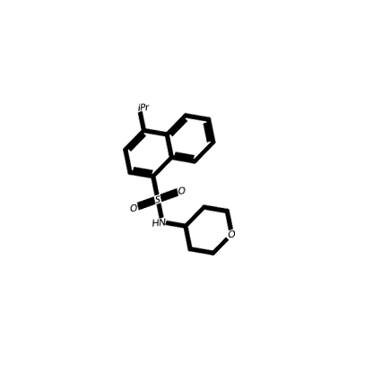 CC(C)c1ccc(S(=O)(=O)NC2CCOCC2)c2ccccc12